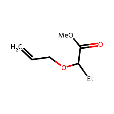 C=CCOC(CC)C(=O)OC